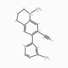 Cc1ccnc(-c2cc3c(cc2C#N)N(C)CCC3)c1